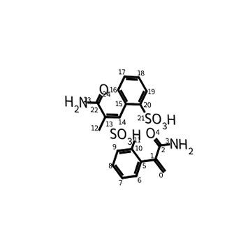 C=C(C(N)=O)c1ccccc1S(=O)(=O)O.CC(=Cc1ccccc1S(=O)(=O)O)C(N)=O